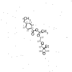 C=Cc1ccc(C(=O)OC(C)OCCOCC2(CC)COC2)cc1